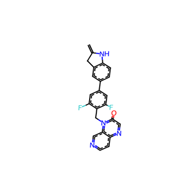 C=C1Cc2cc(-c3cc(F)c(Cn4c(=O)cnc5ccncc54)c(F)c3)ccc2N1